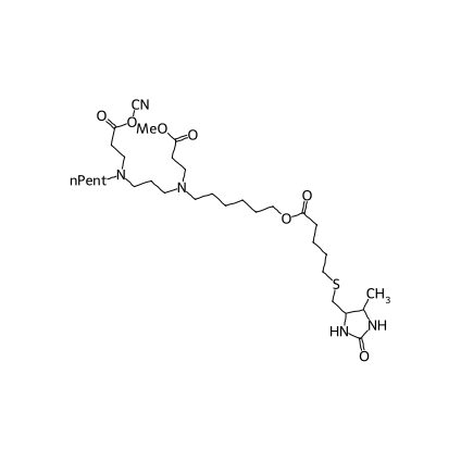 CCCCCN(CCCN(CCCCCCOC(=O)CCCCSCC1NC(=O)NC1C)CCC(=O)OC)CCC(=O)OC#N